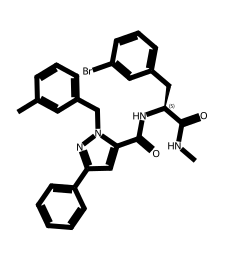 CNC(=O)[C@H](Cc1cccc(Br)c1)NC(=O)c1cc(-c2ccccc2)nn1Cc1cccc(C)c1